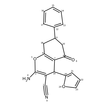 N#CC1=C(N)OC2=C(C(=O)CC(c3ccccc3)C2)C1c1ccco1